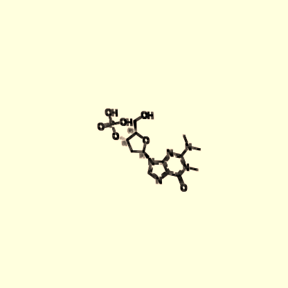 CN(C)c1nc2c(ncn2[C@H]2C[C@H](OP(=O)(O)O)[C@@H](CO)O2)c(=O)n1C